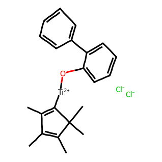 CC1=C(C)C(C)(C)[C]([Ti+2][O]c2ccccc2-c2ccccc2)=C1C.[Cl-].[Cl-]